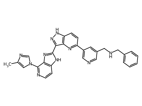 Cc1cn(-c2nccc3[nH]c(-c4n[nH]c5ccc(-c6cncc(CNCc7ccccc7)c6)nc45)nc23)cn1